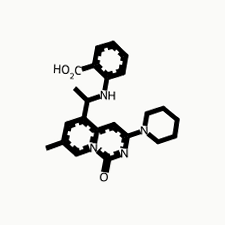 Cc1cc(C(C)Nc2ccccc2C(=O)O)c2cc(N3CCCCC3)nc(=O)n2c1